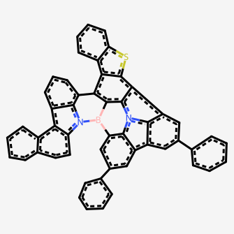 c1ccc(-c2cc3c4c(c2)c2cc(-c5ccccc5)cc5c6c7sc8ccccc8c7c7c(c6n4c25)B3n2c3ccc4ccccc4c3c3cccc-7c32)cc1